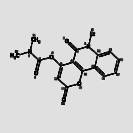 CCn1c(=O)c2c(OC(=O)N(C)C)cc(=O)oc2c2ccccc21